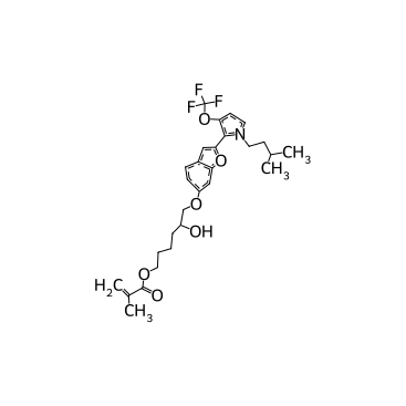 C=C(C)C(=O)OCCCCC(O)COc1ccc2cc(-c3c(OC(F)(F)F)ccn3CCC(C)C)oc2c1